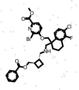 COC(=O)c1ccc(OCC2(CNC[C@@H]3CC[C@H]3COC(=O)c3ccccc3)CCCc3c2ccc(Cl)c3F)c(Br)n1